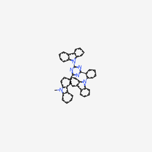 Cn1c2ccccc2c2cc(-c3nc(-c4ccccc4-n4c5ccccc5c5ccccc54)nc(-n4c5ccccc5c5ccccc54)n3)ccc21